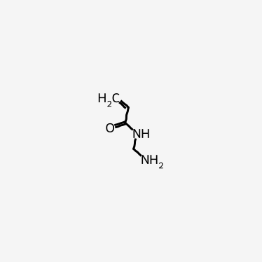 C=CC(=O)NCN